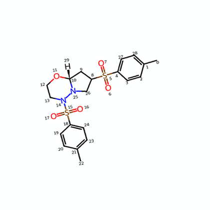 Cc1ccc(S(=O)(=O)C2C[C@H]3OCCN(S(=O)(=O)c4ccc(C)cc4)N3C2)cc1